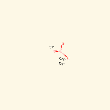 [Cs+].[Cs+].[Cs+].[O-]B([O-])[O-]